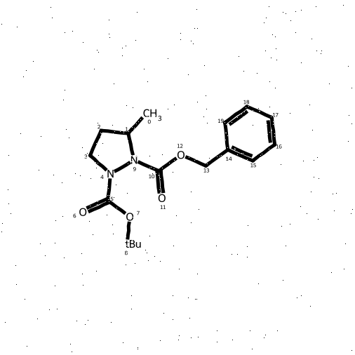 CC1CCN(C(=O)OC(C)(C)C)N1C(=O)OCc1ccccc1